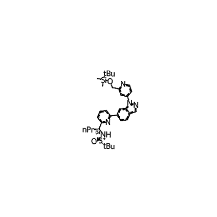 CCC[C@H](N[S@+]([O-])C(C)(C)C)c1cccc(-c2ccc3cnn(-c4ccnc(CO[Si](C)(C)C(C)(C)C)c4)c3c2)n1